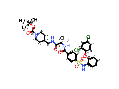 C[C@H](NC(=O)c1ccc(S(=O)(=O)Nc2ccccc2Oc2ccc(Cl)cc2Cl)cc1)C(=O)NCC1CCN(C(=O)OC(C)(C)C)CC1